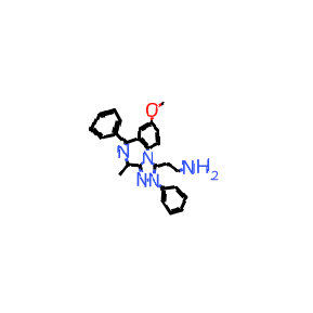 COc1ccc2c(c1)C(c1ccccc1)=NC(C)C1=NN(c3ccccc3)C(CCN)N12